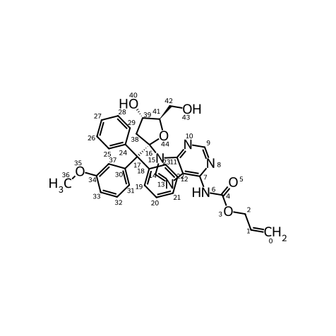 C=CCOC(=O)Nc1ncnc2c1ncn2[C@@]1(C(c2ccccc2)(c2ccccc2)c2cccc(OC)c2)C[C@H](O)[C@@H](CO)O1